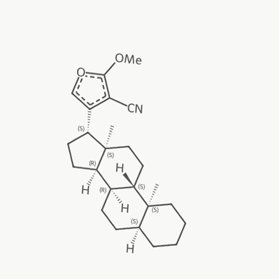 COc1occ([C@H]2CC[C@@H]3[C@@H]4CC[C@@H]5CCCC[C@]5(C)[C@H]4CC[C@]23C)c1C#N